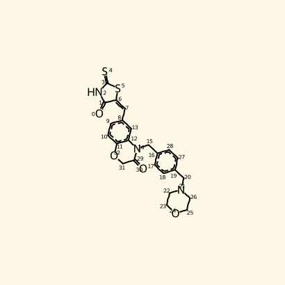 O=C1NC(=S)S/C1=C/c1ccc2c(c1)N(Cc1ccc(CN3CCOCC3)cc1)C(=O)CO2